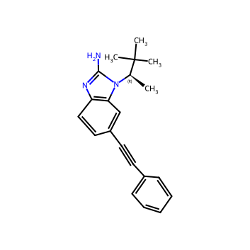 C[C@@H](n1c(N)nc2ccc(C#Cc3ccccc3)cc21)C(C)(C)C